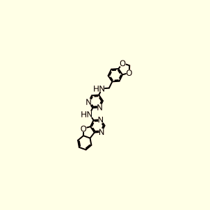 C1=CC2Oc3c(Nc4ncc(NCc5ccc6c(c5)OCO6)cn4)ncnc3C2C=C1